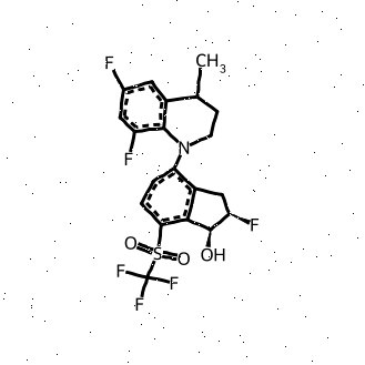 CC1CCN(c2ccc(S(=O)(=O)C(F)(F)F)c3c2C[C@@H](F)[C@H]3O)c2c(F)cc(F)cc21